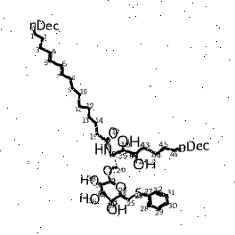 CCCCCCCCCCCCCCCCCCCCCCCCCC(=O)N[C@@H](CO[C@H]1OC(CSc2ccccc2)[C@H](O)[C@H](O)C1O)C(O)[C@H](O)CCCCCCCCCCCCCC